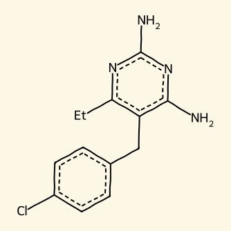 CCc1nc(N)nc(N)c1Cc1ccc(Cl)cc1